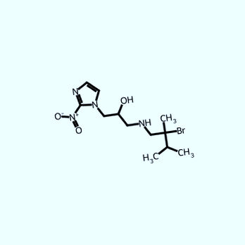 CC(C)C(C)(Br)CNCC(O)Cn1ccnc1[N+](=O)[O-]